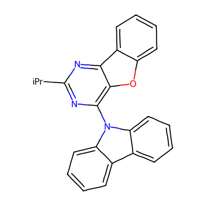 CC(C)c1nc(-n2c3ccccc3c3ccccc32)c2oc3ccccc3c2n1